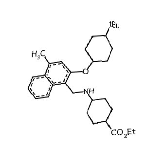 CCOC(=O)C1CCC(NCc2c(OC3CCC(C(C)(C)C)CC3)cc(C)c3ccccc23)CC1